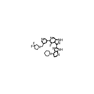 Fc1c(-c2cncc(CN3CCC(F)(F)C3)c2)ncc2[nH]nc(-c3nc4c(N5CCCCC5)ccnc4[nH]3)c12